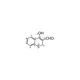 O=[C]C1=C(O)c2ccccc2SC1